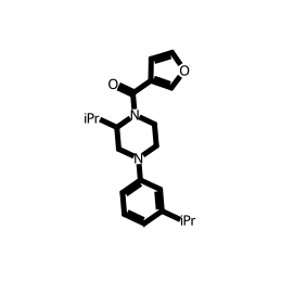 CC(C)c1[c]ccc(N2CCN(C(=O)c3ccoc3)C(C(C)C)C2)c1